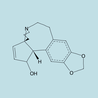 OC1C=C[C@]23CCCN2CCc2cc4c(cc2[C@H]13)OCO4